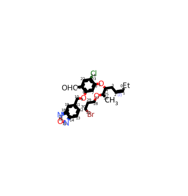 CC/C=C\CC(Oc1cc(OCc2ccc3nonc3c2)c(C=O)cc1Cl)C(C)OCCCBr